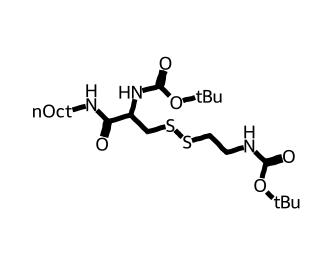 CCCCCCCCNC(=O)C(CSSCCNC(=O)OC(C)(C)C)NC(=O)OC(C)(C)C